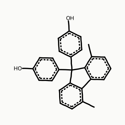 Cc1cccc2c1-c1cccc(C)c1C2(c1ccc(O)cc1)c1ccc(O)cc1